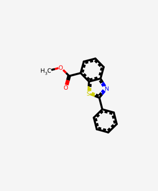 COC(=O)c1cccc2nc(-c3ccccc3)sc12